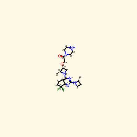 C[C@H]1CCN1c1nc(N2C[C@@H](OCC(=O)N3CCNCC3)[C@@H]2C)c2c(n1)C(F)(F)CC2